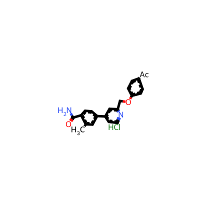 CC(=O)c1ccc(OCc2cc(-c3ccc(C(N)=O)c(C)c3)ccn2)cc1.Cl